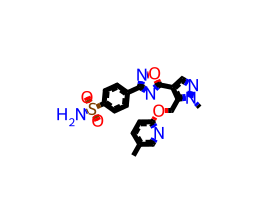 Cc1ccc(OCc2c(-c3nc(-c4ccc(S(N)(=O)=O)cc4)no3)cnn2C)nc1